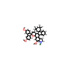 COc1ccc(C2(c3ccc(OC)cc3)C=Cc3c4c(c5c6c(c(OC)cc5c3O2)N(F)CC6)-c2ccccc2C42CC(C)(C)CC(C)(C)C2)cc1